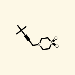 CC(C)(C)C#CCN1CCS(=O)(=O)CC1